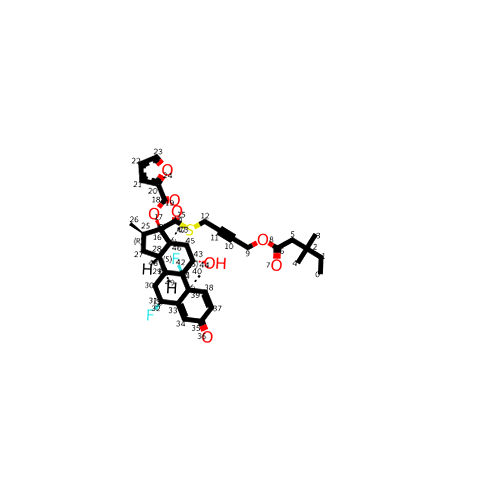 CCC(C)(C)CC(=O)OCC#CCSC(=O)[C@@]1(OC(=O)c2ccco2)[C@H](C)C[C@H]2[C@@H]3C[C@H](F)C4=CC(=O)C=C[C@]4(C)[C@@]3(F)[C@@H](O)C[C@@]21C